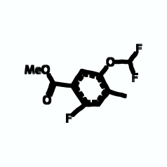 COC(=O)c1cc(OC(F)F)c(C)cc1F